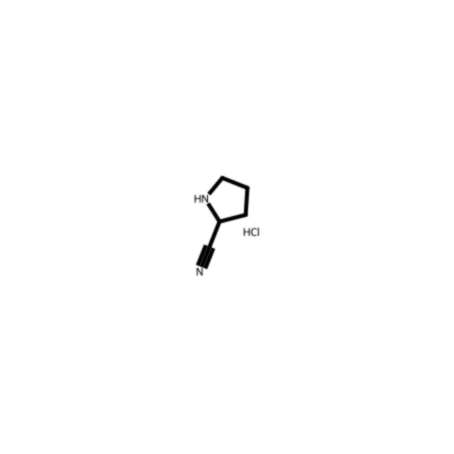 Cl.N#CC1CCCN1